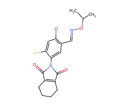 CC(C)O/N=C/c1cc(N2C(=O)C3=C(CCCC3)C2=O)c(F)cc1Cl